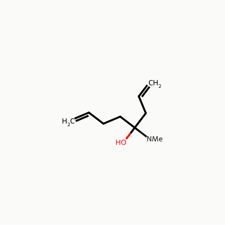 C=CCCC(O)(CC=C)NC